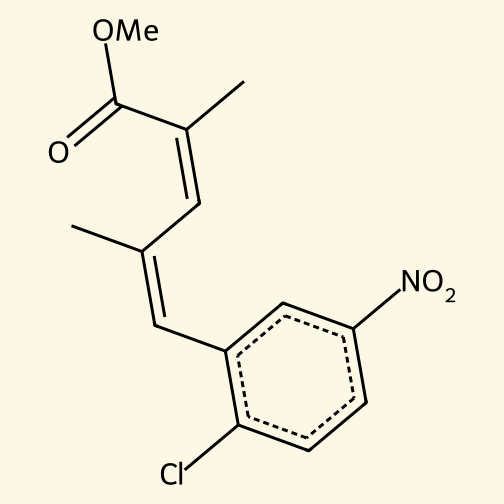 COC(=O)C(C)=CC(C)=Cc1cc([N+](=O)[O-])ccc1Cl